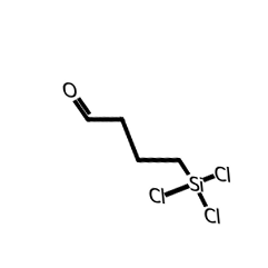 O=CCCC[Si](Cl)(Cl)Cl